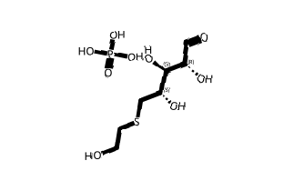 O=C[C@H](O)[C@H](O)[C@H](O)CSCCO.O=P(O)(O)O